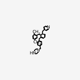 Cc1ccc(C)c(CC2C(Cc3ccc(CN4CCNCC4)cc3)=CC=CC2Cc2ccncc2)c1